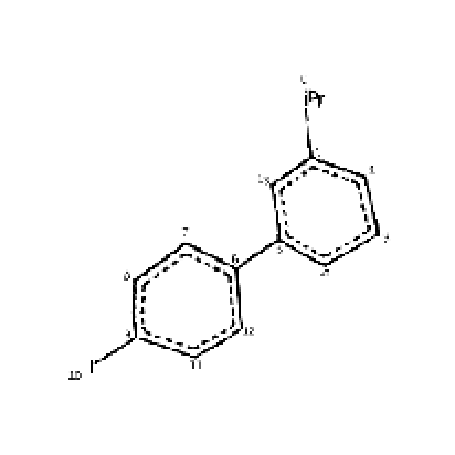 CC(C)c1cccc(-c2ccc(I)cc2)c1